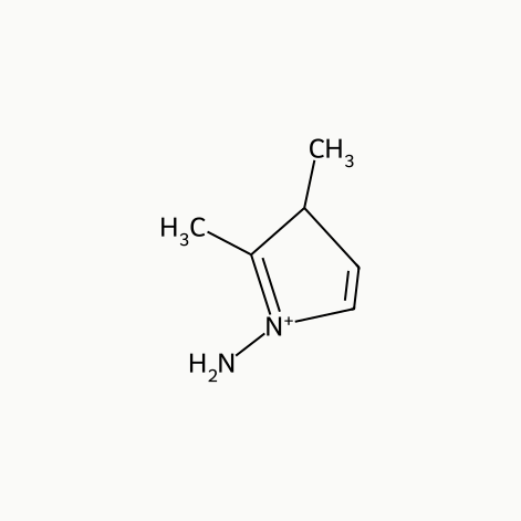 CC1=[N+](N)C=CC1C